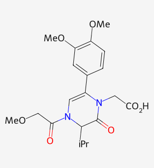 COCC(=O)N1C=C(c2ccc(OC)c(OC)c2)N(CC(=O)O)C(=O)C1C(C)C